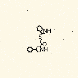 O=C(CCSc1c[nH]c2ccccc12)C1CC(c2ccccc2)=CCN1